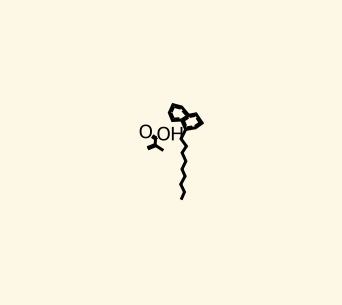 C=C(C)C(=O)O.CCCCCCCCCc1cccc2ccccc12